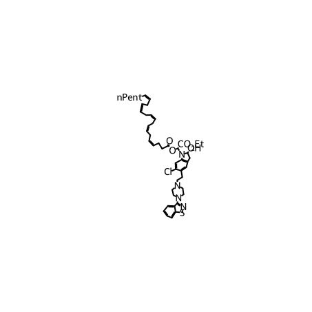 CCCCC/C=C\C/C=C\C/C=C\C/C=C\C/C=C\CCC(=O)OC(C(=O)OCC)N1c2cc(Cl)c(CCN3CCN(c4nsc5ccccc45)CC3)cc2CC1O